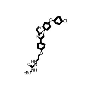 CC(C)Cc1nc(-c2ccc(OCCNOC(=O)NC(C)(C)C)cc2)cn1-c1ccc(Oc2ccc(Cl)cc2)cc1